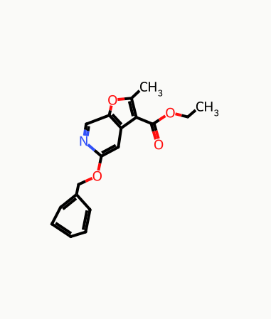 CCOC(=O)c1c(C)oc2cnc(OCc3ccccc3)cc12